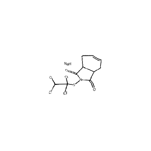 O=C1C2CC=CCC2C(=O)N1SC(Cl)(Cl)C(Cl)Cl.[NaH]